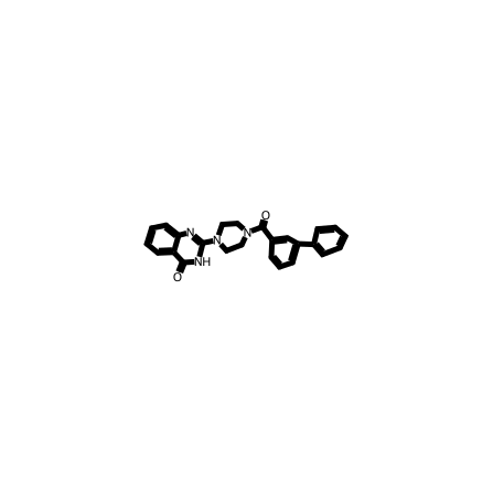 O=C(c1cccc(-c2ccccc2)c1)N1CCN(c2nc3ccccc3c(=O)[nH]2)CC1